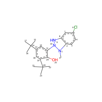 CN1c2ccc(Cl)cc2NN1c1cc(C(C)(C)C)cc(C(C)(C)C)c1O